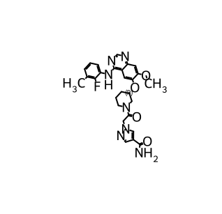 COc1cc2ncnc(Nc3cccc(C)c3F)c2cc1O[C@@H]1CCCN(C(=O)Cn2cc(C(N)=O)cn2)C1